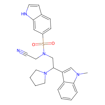 Cn1cc(C(CN(CC#N)S(=O)(=O)c2ccc3cc[nH]c3c2)N2CCCC2)c2ccccc21